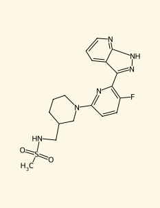 CS(=O)(=O)NCC1CCCN(c2ccc(F)c(-c3n[nH]c4ncccc34)n2)C1